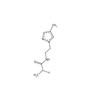 Cc1cnn(CCNC(=O)C(C)I)c1